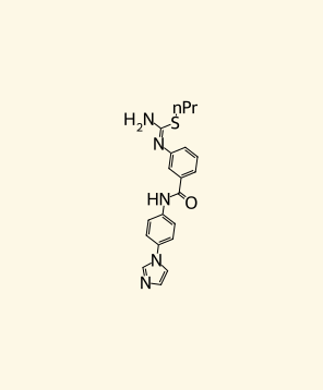 CCCS/C(N)=N\c1cccc(C(=O)Nc2ccc(-n3ccnc3)cc2)c1